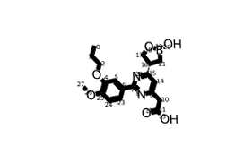 CCCOc1cc(-c2nc(CC(=O)O)cc([C@@H]3COB(O)C3)n2)ccc1OC